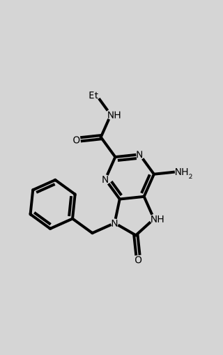 CCNC(=O)c1nc(N)c2[nH]c(=O)n(Cc3ccccc3)c2n1